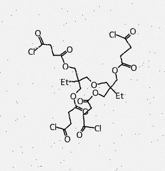 CCC(COCC(CC)(COC(=O)CCC(=O)Cl)COC(=O)CCC(=O)Cl)(COC(=O)CCC(=O)Cl)COC(=O)CCC(=O)Cl